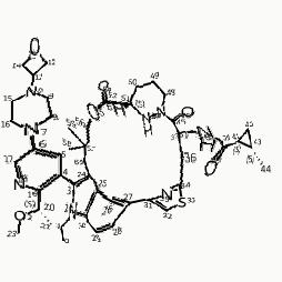 CCn1c(-c2cc(N3CCN(C4COC4)CC3)cnc2[C@H](C)OC)c2c3cc(ccc31)-c1csc(n1)C[C@H](NC(=O)[C@H]1C[C@@H]1C)C(=O)N1CCC[C@H](N1)C(=O)OCC(C)(C)C2